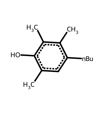 CCCCc1cc(C)c(O)c(C)c1C